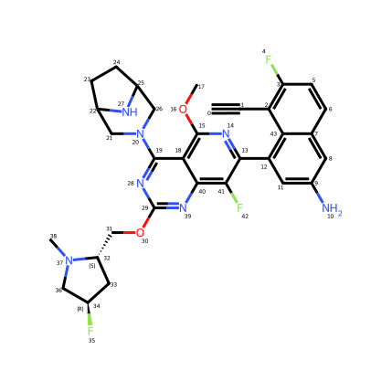 C#Cc1c(F)ccc2cc(N)cc(-c3nc(OC)c4c(N5CC6CCC(C5)N6)nc(OC[C@@H]5C[C@@H](F)CN5C)nc4c3F)c12